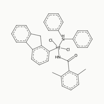 Cc1cccc(C)c1C(=O)[NH][Hf]([Cl])([Cl])([c]1cccc2c1Cc1ccccc1-2)[SiH](c1ccccc1)c1ccccc1